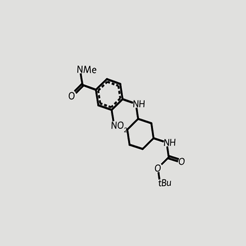 CNC(=O)c1ccc(NC2CCCC(NC(=O)OC(C)(C)C)C2)c([N+](=O)[O-])c1